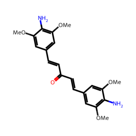 COc1cc(C=CC(=O)C=Cc2cc(OC)c(N)c(OC)c2)cc(OC)c1N